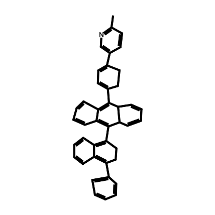 Cc1ccc(C2=CC=C(C3=c4ccccc4=C(C4=c5ccccc5=C(c5ccccc5)CC4)C4C=CC=CC34)CC2)cn1